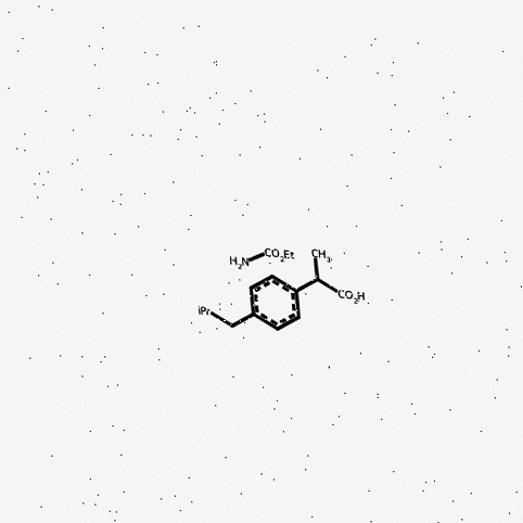 CC(C)Cc1ccc(C(C)C(=O)O)cc1.CCOC(N)=O